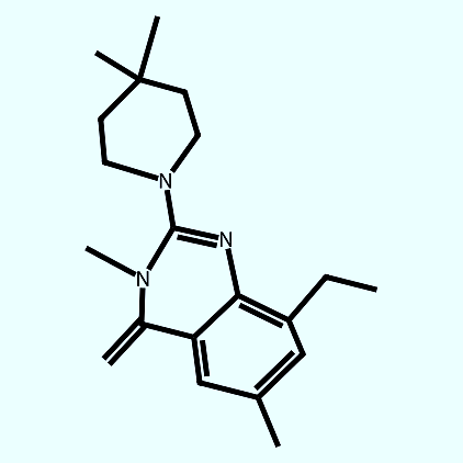 C=C1c2cc(C)cc(CC)c2N=C(N2CCC(C)(C)CC2)N1C